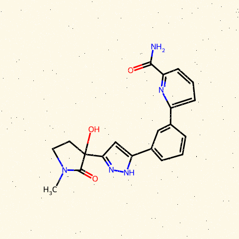 CN1CCC(O)(c2cc(-c3cccc(-c4cccc(C(N)=O)n4)c3)[nH]n2)C1=O